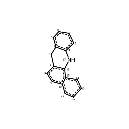 c1ccc2c(c1)Cc1ccc3ccccc3c1N2